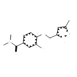 Cc1cc(COc2ccc(C(=O)N(C)C)cc2Br)on1